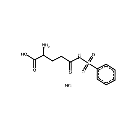 Cl.N[C@@H](CCC(=O)NS(=O)(=O)c1ccccc1)C(=O)O